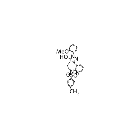 COc1ccccc1-n1nc2c(c1O)CCN(S(=O)(=O)c1ccc(C)cc1)c1ncccc1-2